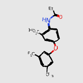 CCC(=O)Nc1ccc(Oc2cc(C(F)(F)F)cc(C(F)(F)F)c2)cc1C(=O)O